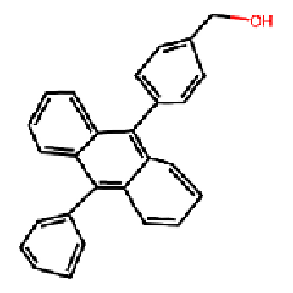 OCc1ccc(-c2c3ccccc3c(-c3ccccc3)c3ccccc23)cc1